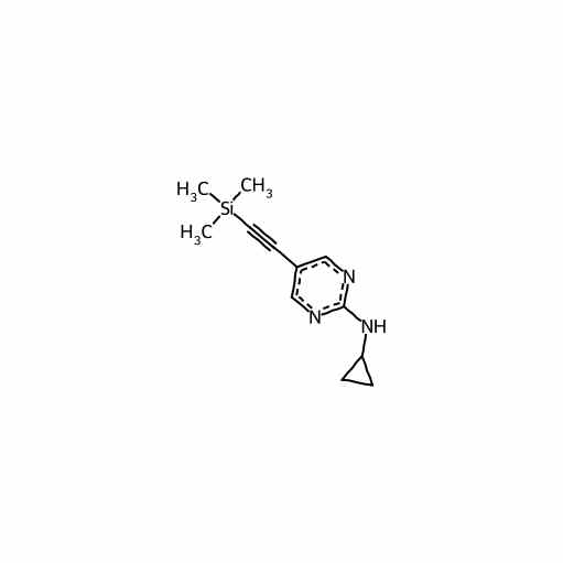 C[Si](C)(C)C#Cc1cnc(NC2CC2)nc1